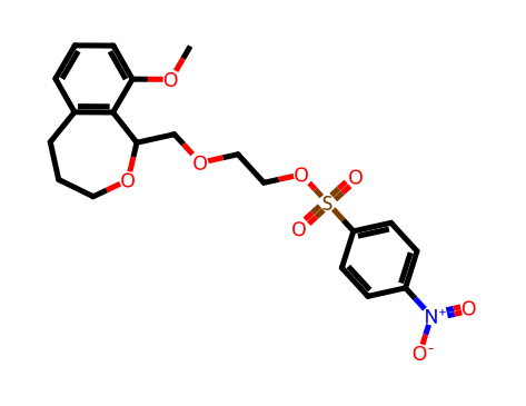 COc1cccc2c1C(COCCOS(=O)(=O)c1ccc([N+](=O)[O-])cc1)OCCC2